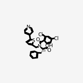 O=C(O)[C@H](Cc1ccccc1)N(Cc1ccc(-c2ccncc2)s1)C(=O)c1ccc(Cl)cc1Cl